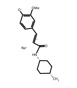 COc1cc(/C=C/C(=O)N[C@H]2CC[C@@H](C)CC2)ccc1[O-].[Na+]